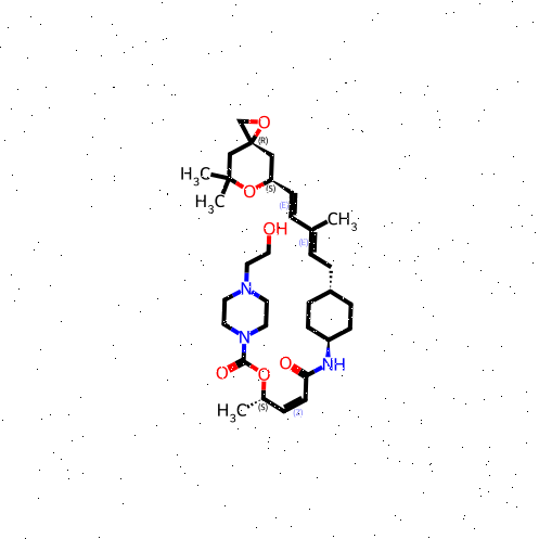 CC(/C=C/[C@@H]1C[C@]2(CO2)CC(C)(C)O1)=C\C[C@H]1CC[C@H](NC(=O)/C=C\[C@H](C)OC(=O)N2CCN(CCO)CC2)CC1